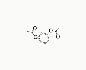 CC(=O)Oc1[c]c(OC(C)=O)ccc1